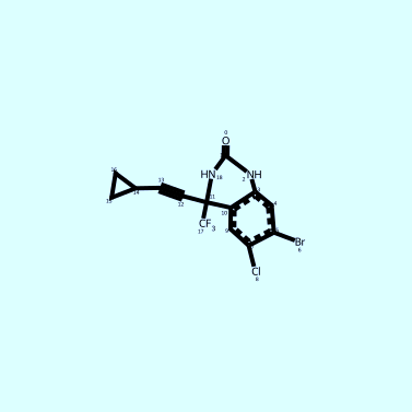 O=C1Nc2cc(Br)c(Cl)cc2C(C#CC2CC2)(C(F)(F)F)N1